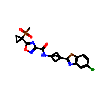 CS(=O)(=O)C1(c2nc(C(=O)NC34CC(c5nc6cc(Br)ccc6s5)(C3)C4)no2)CC1